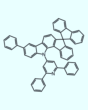 c1ccc(-c2ccc3c(c2)c2ccc4c(c2n3-c2cc(-c3ccccc3)nc(-c3ccccc3)c2)-c2ccccc2C42c3ccccc3-c3ccccc32)cc1